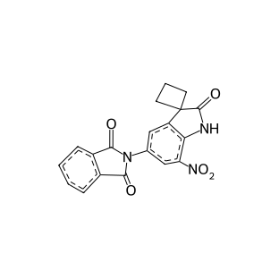 O=C1c2ccccc2C(=O)N1c1cc([N+](=O)[O-])c2c(c1)C1(CCC1)C(=O)N2